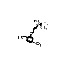 CC(C)(C)[Si](C)(C)OCCCOc1cc([N+](=O)[O-])ccc1CO